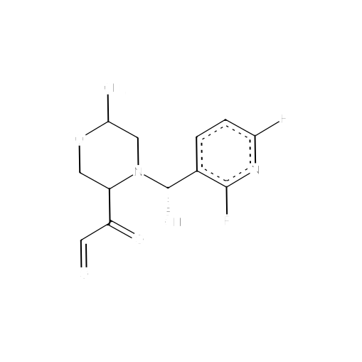 CC1CN([C@@H](C)c2ccc(F)nc2F)C(C(=O)C=O)CO1